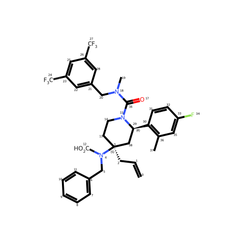 C=CC[C@]1(N(Cc2ccccc2)C(=O)O)CCN(C(=O)N(C)Cc2cc(C(F)(F)F)cc(C(F)(F)F)c2)[C@@H](c2ccc(F)cc2C)C1